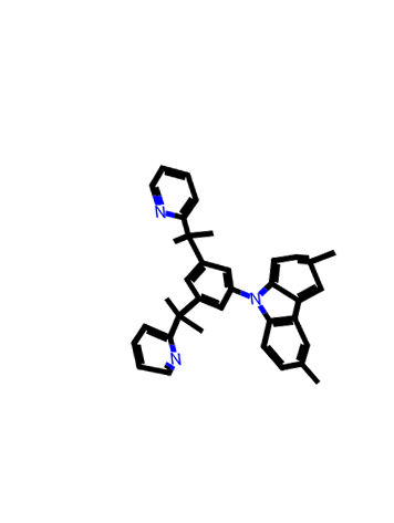 Cc1ccc2c(c1)c1cc(C)ccc1n2-c1cc(C(C)(C)c2ccccn2)cc(C(C)(C)c2ccccn2)c1